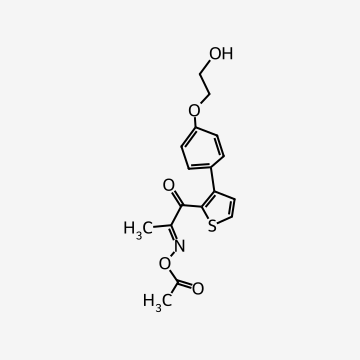 CC(=O)ON=C(C)C(=O)c1sccc1-c1ccc(OCCO)cc1